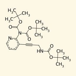 CC(C)(C)OC(=O)NCC#Cc1cccnc1N(C(=O)OC(C)(C)C)C(=O)OC(C)(C)C